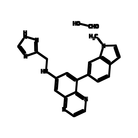 Cn1ccc2ccc(-c3cc(NCc4nc[nH]n4)cc4nccnc34)cc21.O=CO